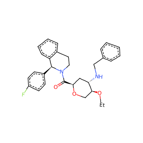 CCO[C@H]1CO[C@@H](C(=O)N2CCc3ccccc3[C@@H]2c2ccc(F)cc2)C[C@@H]1NCc1ccccc1